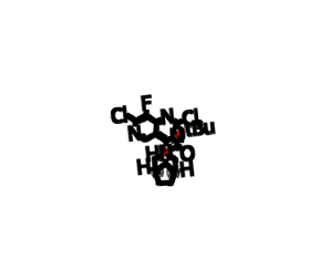 CC(C)(C)OC(=O)NC1[C@@H]2CC[C@H]1CN(c1nc(Cl)nc3c(F)c(Cl)ncc13)C2